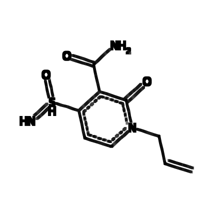 C=CCn1ccc([SH](=N)=O)c(C(N)=O)c1=O